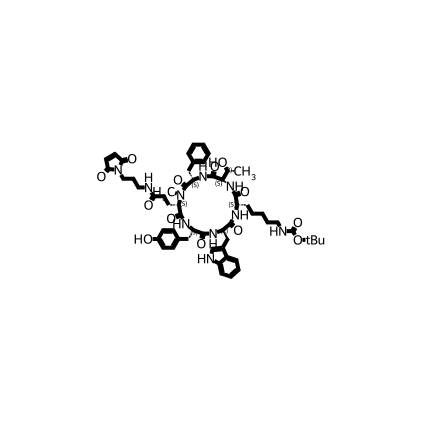 C[C@@H](O)[C@@H]1NC(=O)[C@H](CCCCCNC(=O)OC(C)(C)C)NC(=O)[C@@H](Cc2c[nH]c3ccccc23)NC(=O)[C@H](Cc2ccc(O)cc2)NC(=O)[C@H](CCC(=O)NCCCN2C(=O)C=CC2=O)N(C)C(=O)[C@H](Cc2ccccc2)NC1=O